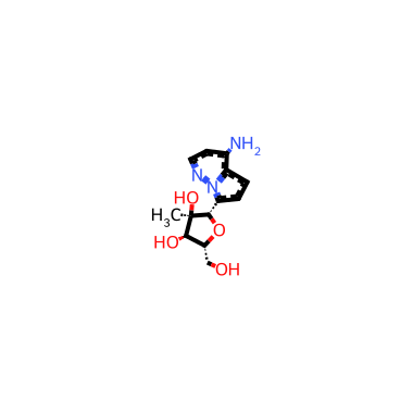 C[C@@]1(O)[C@H](O)[C@@H](CO)O[C@H]1c1ccc2c(N)ccnn12